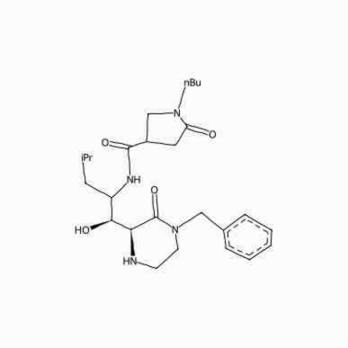 CCCCN1CC(C(=O)NC(CC(C)C)[C@H](O)[C@@H]2NCCN(Cc3ccccc3)C2=O)CC1=O